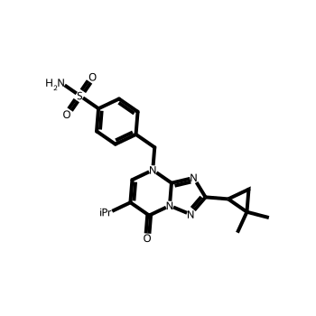 CC(C)c1cn(Cc2ccc(S(N)(=O)=O)cc2)c2nc(C3CC3(C)C)nn2c1=O